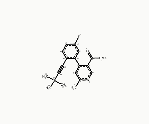 COC(=O)c1cnc(C)cc1-c1cc(F)ccc1C#C[Si](C)(C)C